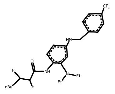 CCCCC(F)C(F)C(=O)Nc1ccc(NCc2ccc(C(F)(F)F)cc2)cc1N(CC)CC